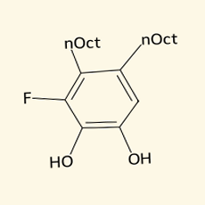 CCCCCCCCc1cc(O)c(O)c(F)c1CCCCCCCC